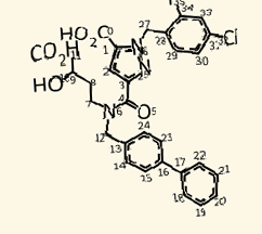 O=C(O)c1cc(C(=O)N(CCC(O)C(=O)O)Cc2ccc(-c3ccccc3)cc2)nn1Cc1ccc(Cl)cc1F